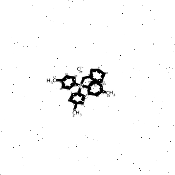 Cc1ccc([P+](Cc2ccccc2)(c2ccc(C)cc2)c2ccc(C)cc2)cc1.[Cl-]